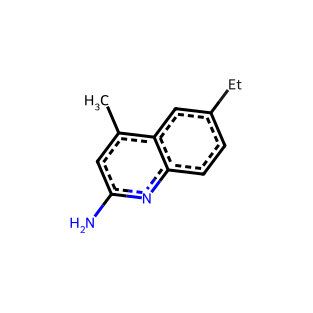 CCc1ccc2nc(N)cc(C)c2c1